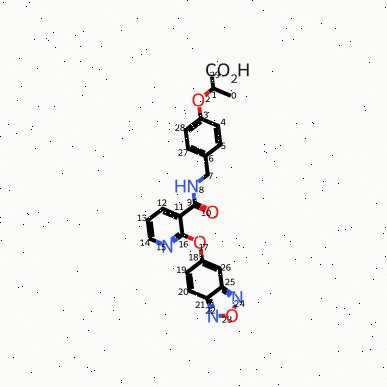 CC(Oc1ccc(CNC(=O)c2cccnc2Oc2ccc3nonc3c2)cc1)C(=O)O